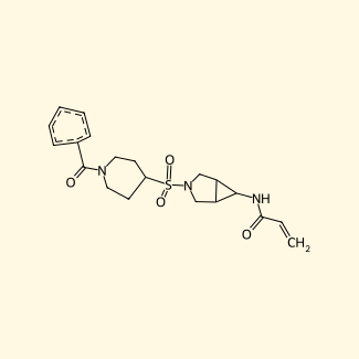 C=CC(=O)NC1C2CN(S(=O)(=O)C3CCN(C(=O)c4ccccc4)CC3)CC21